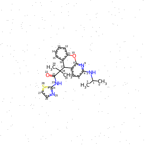 CC(C)Nc1ccc2c(n1)Oc1ccccc1C2C(C)(C)C(=O)Nc1nccs1